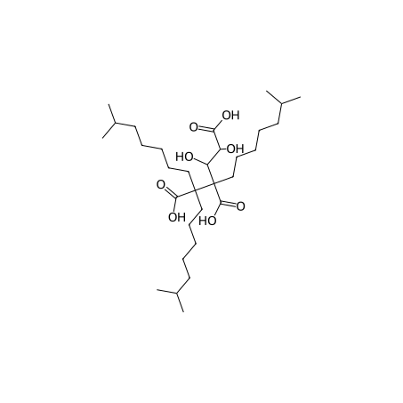 CC(C)CCCCCC(CCCCCC(C)C)(C(=O)O)C(CCCCCC(C)C)(C(=O)O)C(O)C(O)C(=O)O